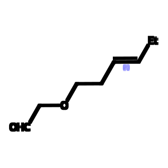 CC/C=C/CCOCC=O